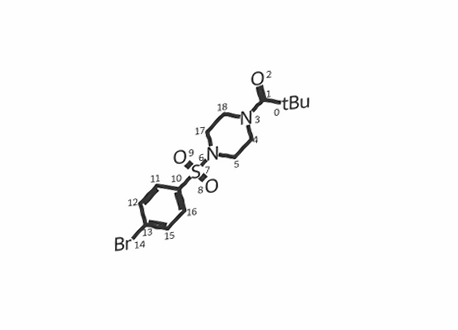 CC(C)(C)C(=O)N1CCN(S(=O)(=O)c2ccc(Br)cc2)CC1